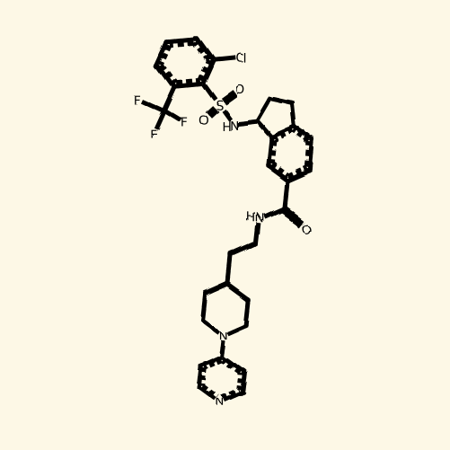 O=C(NCCC1CCN(c2ccncc2)CC1)c1ccc2c(c1)C(NS(=O)(=O)c1c(Cl)cccc1C(F)(F)F)CC2